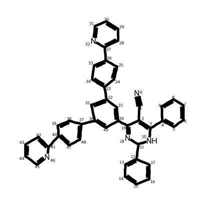 N#CC1=C(c2ccccc2)NC(c2ccccc2)N=C1c1cc(-c2ccc(-c3ccccn3)cc2)cc(-c2ccc(-c3ccccn3)cc2)c1